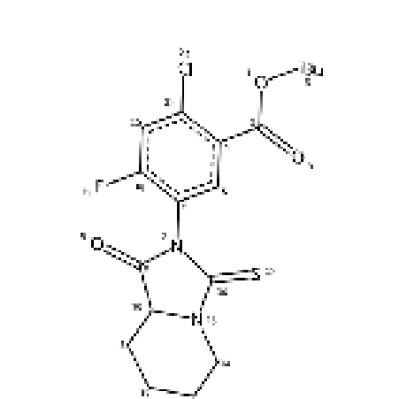 CCC(C)OC(=O)c1cc(N2C(=O)C3CCCCN3C2=S)c(F)cc1Cl